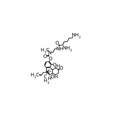 C=CC[N+]1(C)CC[C@]23c4c5ccc(OC(=O)N(C)CCNC(=O)[C@@H](N)CCCCN)c4O[C@H]2C(=O)CC[C@@]3(O)[C@H]1C5